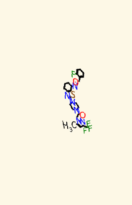 Cc1cc(C(F)(F)F)nn1CC(=O)N1CCN(c2nc3c(s2)C(=NOCc2ccccc2F)CCC3)CC1